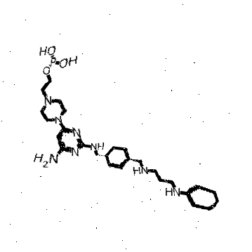 Nc1cc(N2CCN(CCOP(O)O)CC2)nc(NC[C@H]2CC[C@H](CNCCCNC3CCCCC3)CC2)n1